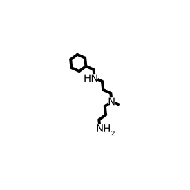 CN(CCCN)CCCNCC1CCCCC1